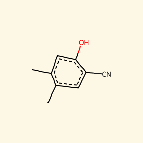 Cc1cc(O)c(C#N)cc1C